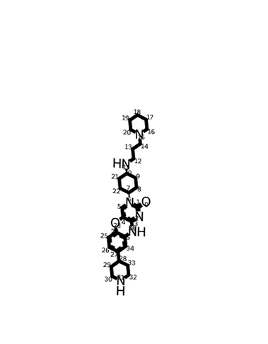 O=c1nc2c(cn1[C@H]1CC[C@H](NCCCN3CCCCC3)CC1)Oc1ccc(C3CCNCC3)cc1N2